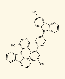 N#Cc1ccc(-c2cccc(C#N)c2-n2c3ccccc3c3ccccc32)c(-c2ccc(-n3c4ccccc4c4cc(C#N)ccc43)cc2)c1